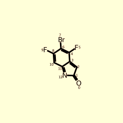 O=C1C=c2c(F)c(Br)c(F)cc2=N1